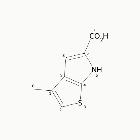 Cc1csc2[nH]c(C(=O)O)cc12